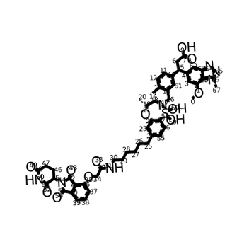 COc1cc(C(CC(=O)O)c2ccc(C)c(CN3C[C@@H](C)Oc4cc(CCCCCCNC(=O)COc5cccc6c5C(=O)N(C5CCC(=O)NC5=O)C6=O)ccc4S3(O)O)c2)cc2nnn(C)c12